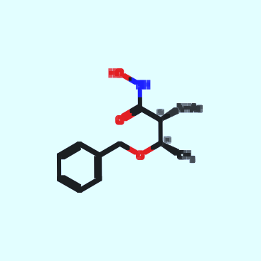 CC(=O)N[C@H](C(=O)NO)[C@@H](C)OCc1ccccc1